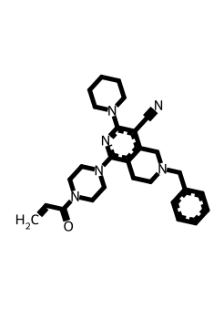 C=CC(=O)N1CCN(c2nc(N3CCCCC3)c(C#N)c3c2CCN(Cc2ccccc2)C3)CC1